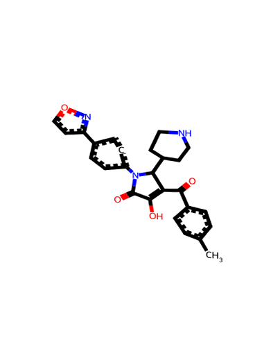 Cc1ccc(C(=O)C2=C(O)C(=O)N(c3ccc(-c4ccon4)cc3)C2C2CCNCC2)cc1